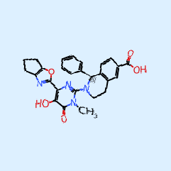 Cn1c(N2CCc3cc(C(=O)O)ccc3[C@@H]2c2ccccc2)nc(-c2nc3c(o2)CCC3)c(O)c1=O